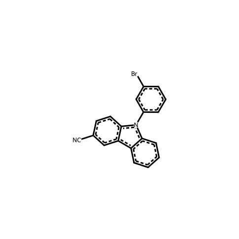 N#Cc1ccc2c(c1)c1ccccc1n2-c1cccc(Br)c1